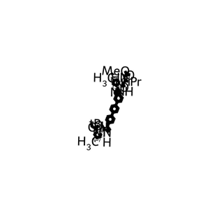 COC(=O)NC(C(=O)N1C[C@@H](C)C[C@H]1c1nc2cc(-c3ccc(-c4ccc(-c5c[nH]c([C@@H]6C[C@H](C)CN6C(=O)OC(C)(C)C)n5)cc4)cc3)ccc2[nH]1)C(C)C